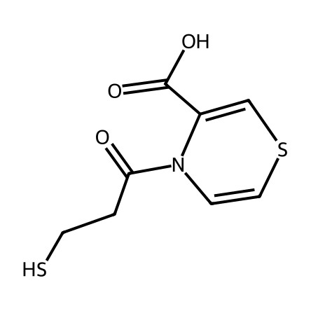 O=C(O)C1=CSC=CN1C(=O)CCS